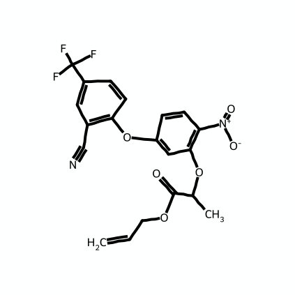 C=CCOC(=O)C(C)Oc1cc(Oc2ccc(C(F)(F)F)cc2C#N)ccc1[N+](=O)[O-]